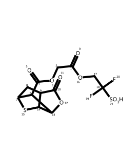 O=C(COC(=O)C1C2CC3C(=O)OC1C3S2)OCC(F)(F)S(=O)(=O)O